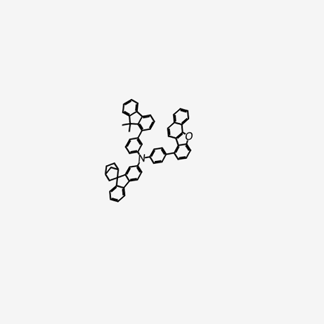 CC1(C)c2ccccc2-c2cccc(-c3cccc(N(c4ccc(-c5cccc6oc7c8ccccc8ccc7c56)cc4)c4ccc5c(c4)C4(CC6CCC4C6)c4ccccc4-5)c3)c21